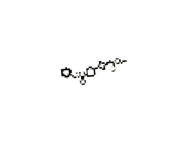 CCOC(=O)C=C1CC(C2CCN(C(=O)OCc3ccccc3)CC2)C1